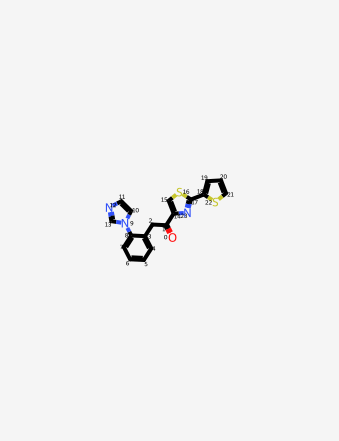 O=C(Cc1ccccc1-n1ccnc1)c1csc(-c2cccs2)n1